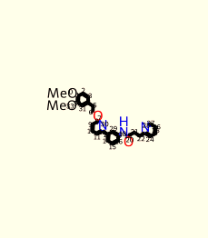 COc1ccc(CCOc2cccc(-c3cccc(NC(=O)CCc4ccccn4)c3)n2)cc1OC